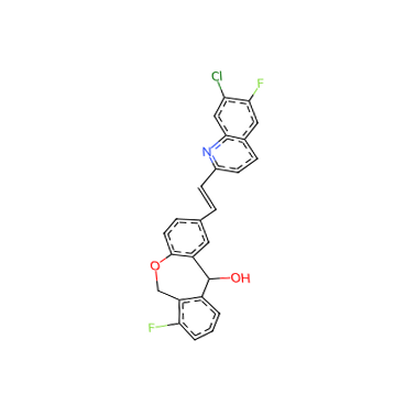 OC1c2cc(/C=C/c3ccc4cc(F)c(Cl)cc4n3)ccc2OCc2c(F)cccc21